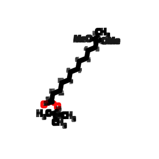 CO[Si](C)(CCCCCCCCCCC(=O)O[Si](C)(C)C)OC